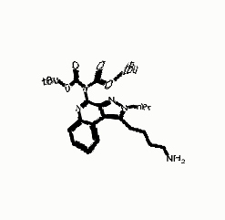 CCCn1nc2c(N(C(=O)OC(C)(C)C)C(=O)OC(C)(C)C)nc3ccccc3c2c1CCCCN